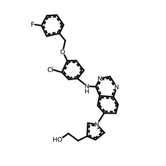 OCCc1ccn(-c2ccc3ncnc(Nc4ccc(OCc5cccc(F)c5)c(Cl)c4)c3c2)c1